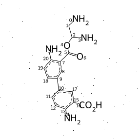 NCC(N)OC(=O)c1cc(-c2ccc(N)c(C(=O)O)c2)ccc1N